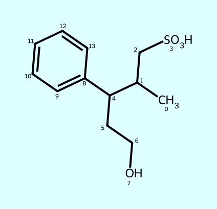 CC(CS(=O)(=O)O)C(CCO)c1ccccc1